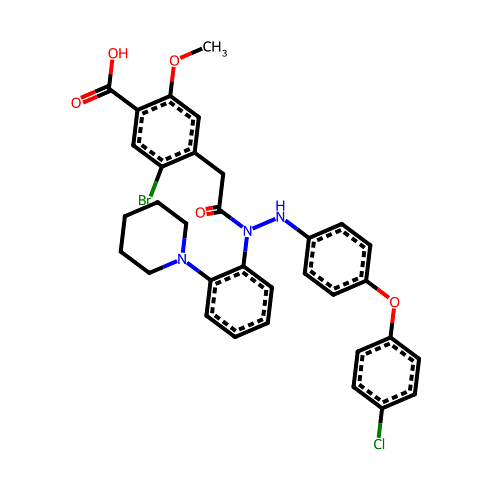 COc1cc(CC(=O)N(Nc2ccc(Oc3ccc(Cl)cc3)cc2)c2ccccc2N2CCCCC2)c(Br)cc1C(=O)O